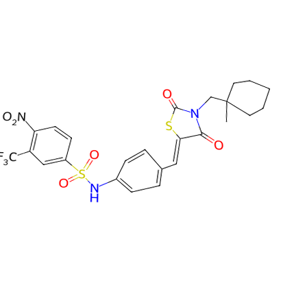 CC1(CN2C(=O)S/C(=C\c3ccc(NS(=O)(=O)c4ccc([N+](=O)[O-])c(C(F)(F)F)c4)cc3)C2=O)CCCCC1